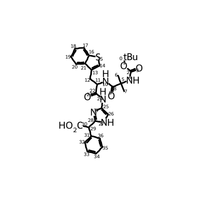 CC(C)(C)OC(=O)NC(C)(C)C(=O)NC(Cc1csc2ccccc12)C(=O)Nc1c[nH]c(C(C(=O)O)c2ccccc2)n1